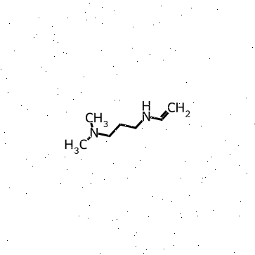 C=CNCCCN(C)C